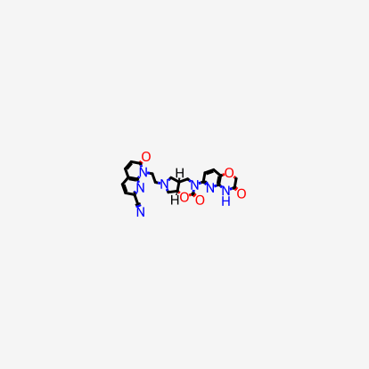 N#Cc1ccc2ccc(=O)n(CCN3C[C@@H]4CN(c5ccc6c(n5)NC(=O)CO6)C(=O)O[C@H]4C3)c2n1